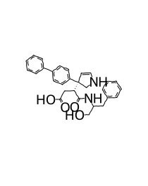 O=C(O)CC(C(=O)NC(CO)Cc1ccccc1)[C@]1(c2ccc(-c3ccccc3)cc2)C=CNC1